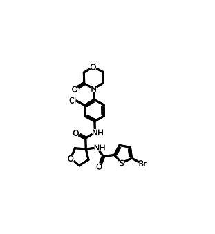 O=C(NC1(C(=O)Nc2ccc(N3CCOCC3=O)c(Cl)c2)CCOC1)c1ccc(Br)s1